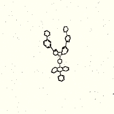 c1ccc(-c2cccc(-c3ccc4c(c3)c3cc(-c5cccc(-c6ccccc6)c5)ccc3n4-c3ccc(-c4c5ccccc5c(-c5ccccc5)c5ccccc45)cc3)c2)cc1